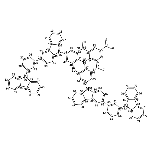 CC(C)c1cc(C(C)C)c(B2c3ccc(-n4c5ccccc5c5cc(-c6cccc(-n7c8ccccc8c8ccccc87)c6)ccc54)cc3Oc3cc(-n4c5ccccc5c5cc(-c6cccc(-n7c8ccccc8c8ccccc87)c6)ccc54)ccc32)c(C(C)C)c1